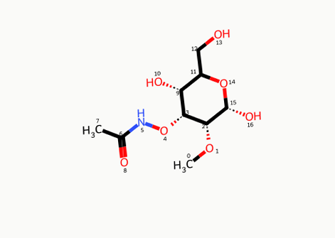 CO[C@@H]1[C@H](ONC(C)=O)[C@H](O)C(CO)O[C@@H]1O